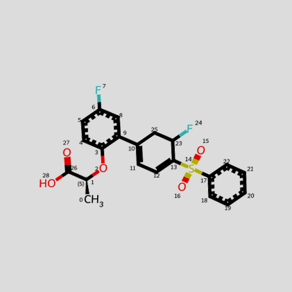 C[C@H](Oc1ccc(F)cc1C1=CC=C(S(=O)(=O)c2ccccc2)C(F)C1)C(=O)O